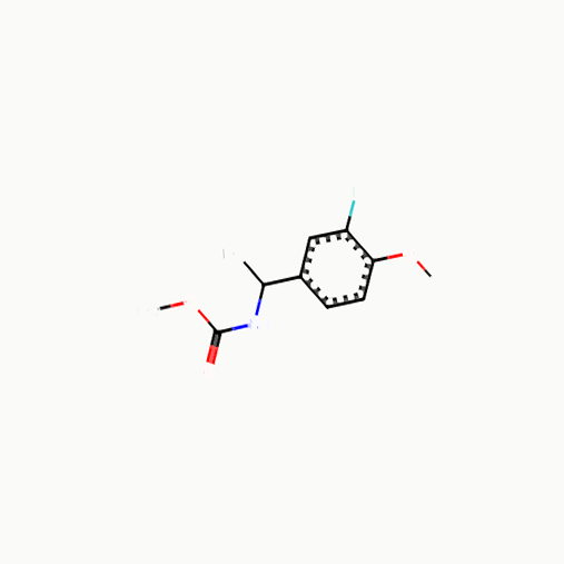 CCOc1ccc(C(C)NC(=O)OC(C)(C)C)cc1F